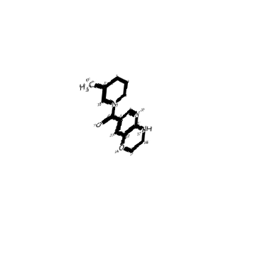 CC1CCCN(C(=O)c2cnc3c(c2)OCCN3)C1